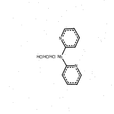 Cl.Cl.Cl.c1cc[c]([Nb][c]2ccccn2)nc1